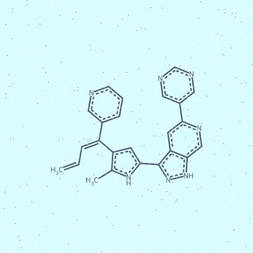 C=C/C=C(/c1cccnc1)c1cc(-c2n[nH]c3cnc(-c4cncnc4)cc23)[nH]c1C